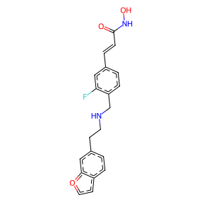 O=C(/C=C/c1ccc(CNCCc2ccc3ccoc3c2)c(F)c1)NO